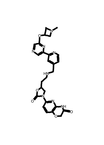 CN1CC(Oc2cncc(-c3cc(CNCCC4CN(c5ccc6c(n5)NC(=O)CO6)C(=O)O4)ccn3)n2)C1